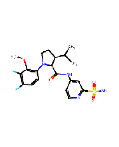 COc1c(N2CC[C@@H](C(C)C)[C@H]2C(=O)Nc2ccnc(S(N)(=O)=O)c2)ccc(F)c1F